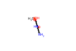 COP(=O)(O)OCCCCCCNC(=O)CCCCCCN